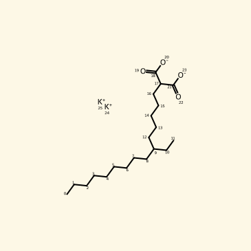 CCCCCCCCCC(CC)CCCCCC(C(=O)[O-])C(=O)[O-].[K+].[K+]